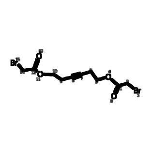 O=C(CBr)OCCC#CCCOC(=O)CBr